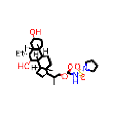 CC[C@H]1[C@@H](O)[C@@H]2[C@H](CC[C@]3(C)[C@@H]([C@H](C)COC(=O)NS(=O)(=O)N4CCCC4)CC[C@@H]23)[C@@]2(C)CC[C@@H](O)C[C@@H]12